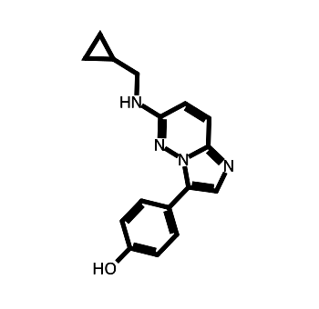 Oc1ccc(-c2cnc3ccc(NCC4CC4)nn23)cc1